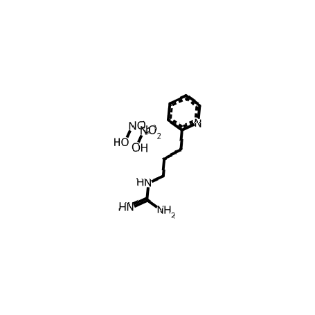 N=C(N)NCCCc1ccccn1.O=[N+]([O-])O.O=[N+]([O-])O